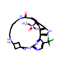 CP(C)(=O)c1c2ccc3c(c[nH]c13)-c1nc(ncc1C(F)(F)F)N[C@H]1C[C@@H](C1)NCCCCNC2=O